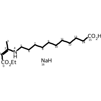 CCOC(=O)C=C(C)NCCCCCCCCCCC(=O)O.[NaH]